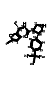 Cc1ccc([C@H](C)NC(=O)[C@@H]2CNC[C@H]2c2ccc(C(F)(F)F)cc2)o1